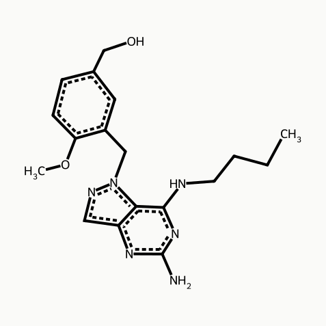 CCCCNc1nc(N)nc2cnn(Cc3cc(CO)ccc3OC)c12